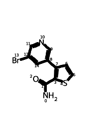 NC(=O)c1sccc1-c1cncc(Br)c1